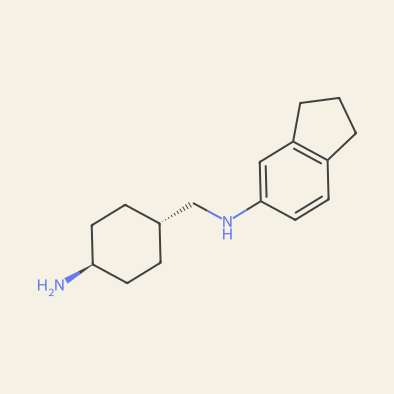 N[C@H]1CC[C@H](CNc2ccc3c(c2)CCC3)CC1